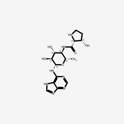 C[C@@H]1O[C@H](Nc2ncnc3nc[nH]c23)[C@@H](O)[C@H](O)[C@H]1NC(=O)[C@@H]1NCC[C@@H]1O